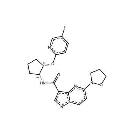 O=C(N[C@@H]1CCC[C@@H]1Oc1ccc(F)cn1)c1cnn2ccc(N3CCCO3)nc12